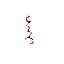 OCC(=S)OCCOC(=S)CO